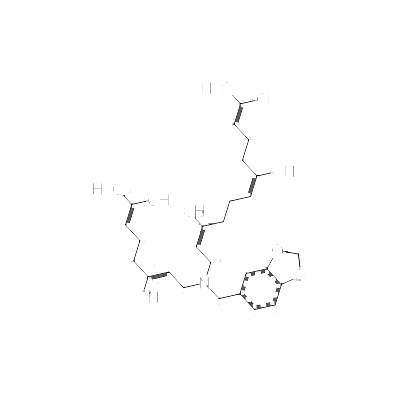 CC(C)=CCCC(C)=CCCC(C)=CCN(C/C=C(\C)CCC=C(C)C)Cc1ccc2c(c1)OCO2